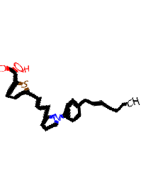 CCCCCCc1ccc(-n2cccc2CCCc2ccc(C(=O)O)s2)cc1